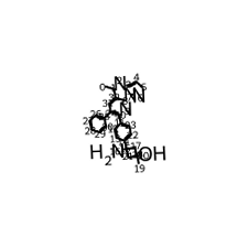 Cc1nc2ccnn2c2nc(-c3ccc(C4(N)CC(C)(O)C4)cc3)c(-c3ccccc3)cc12